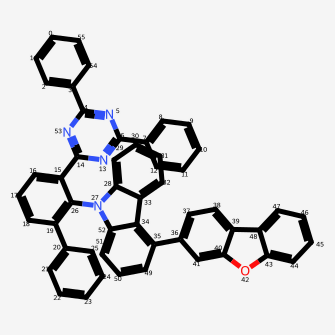 c1ccc(-c2nc(-c3ccccc3)nc(-c3cccc(-c4ccccc4)c3-n3c4ccccc4c4c(-c5ccc6c(c5)oc5ccccc56)cccc43)n2)cc1